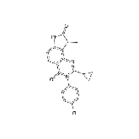 CC1C(=O)Nc2ccc3c(=O)n(-c4ccc(Cl)cc4)c(C4CC4)nc3c21